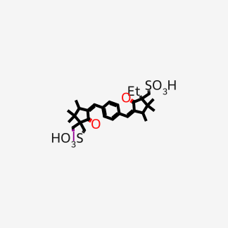 CCC1(CS(=O)(=O)O)C(=O)/C(=C\c2ccc(/C=C3\C(=O)C(CI)(CS(=O)(=O)O)C(C)(C)C3C)cc2)C(C)C1(C)C